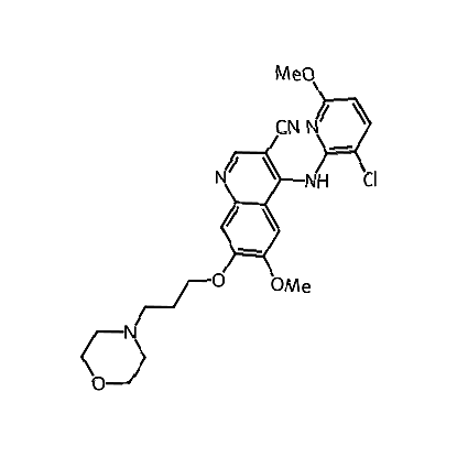 COc1ccc(Cl)c(Nc2c(C#N)cnc3cc(OCCCN4CCOCC4)c(OC)cc23)n1